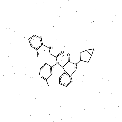 C=C(C)/C=C(\C=C/C)N(C(=O)CNc1ncccc1F)C(C(=O)NC1CC2CC2C1)c1ccccc1C